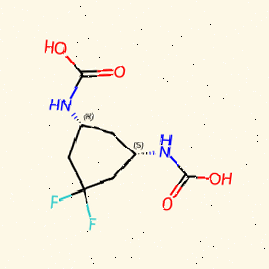 O=C(O)N[C@@H]1C[C@H](NC(=O)O)CC(F)(F)C1